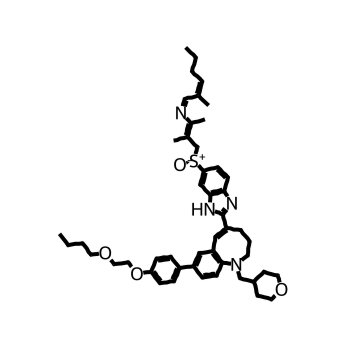 CCC\C=C(C)/C=N\C(C)=C(/C)C[S@+]([O-])c1ccc2nc(/C3=C/c4cc(-c5ccc(OCCOCCCC)cc5)ccc4N(CC4CCOCC4)CCC3)[nH]c2c1